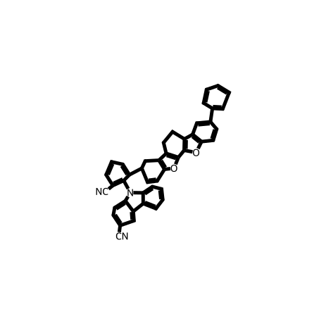 N#Cc1ccc2c(c1)c1ccccc1n2-c1c(C#N)cccc1C1C=Cc2oc3c(c2C1)CCc1c-3oc2ccc(-c3ccccc3)cc12